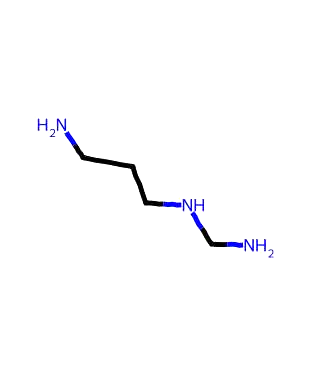 NCCCNCN